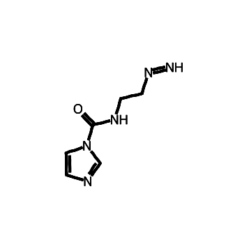 N=NCCNC(=O)n1ccnc1